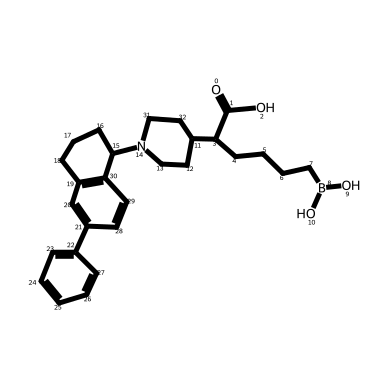 O=C(O)C(CCCCB(O)O)C1CCN(C2CCCc3cc(-c4ccccc4)ccc32)CC1